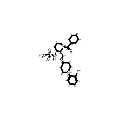 CS(=O)(=O)N[C@H]1CCCN(C(=O)C2CCCCC2)[C@H]1COC1CCN(c2ccccc2F)CC1